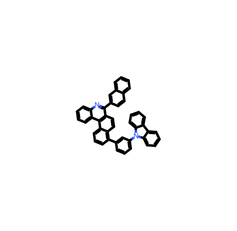 c1cc(-c2cccc3c2ccc2c(-c4ccc5ccccc5c4)nc4ccccc4c23)cc(-n2c3ccccc3c3ccccc32)c1